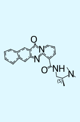 C[C@@H](CNC(=O)c1cccn2c(=O)c3cc4ccccc4cc3nc12)N(C)C